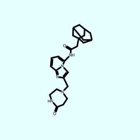 O=C1CCN(Cc2cn3c(NC(=O)CC45CC6CC(CC(C6)C4)C5)cccc3n2)CCN1